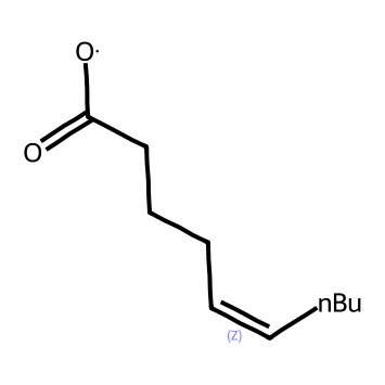 CCCC/C=C\CCCC([O])=O